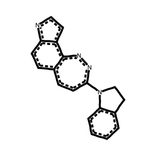 c1ccc2c(c1)CCN2c1ccc2ccc3nccc3c2nn1